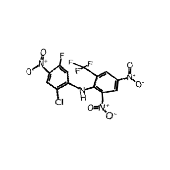 O=[N+]([O-])c1cc([N+](=O)[O-])c(Nc2cc(F)c([N+](=O)[O-])cc2Cl)c(C(F)(F)F)c1